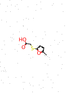 Cc1ccc(SCC(=O)O)o1